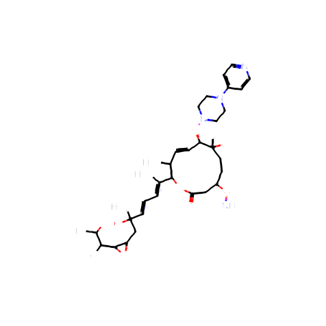 CCC(O)C(C)C1OC1CC(C)(O)/C=C/C=C(\C)C1OC(=O)CC(ON)CCC(C)(O)C(ON2CCN(c3ccncc3)CC2)/C=C/C1C